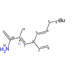 C=CC(C=CCC(C)CC)/C=C(\C)C(=C)N